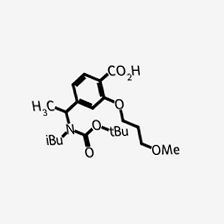 CCC(C)N(C(=O)OC(C)(C)C)C(C)c1ccc(C(=O)O)c(OCCCOC)c1